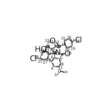 C=C(C)c1ccc2c(c1)C(=O)N([C@@H](C)c1ccc(Cl)cc1)[C@@]2(c1ccc(Cl)cc1)C1COC[C@@H]1O